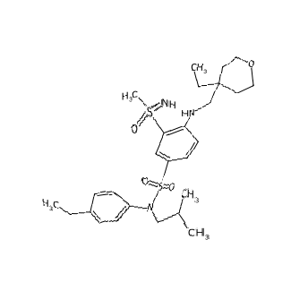 CCc1ccc(N(CC(C)C)S(=O)(=O)c2ccc(NCC3(CC)CCOCC3)c(S(C)(=N)=O)c2)cc1